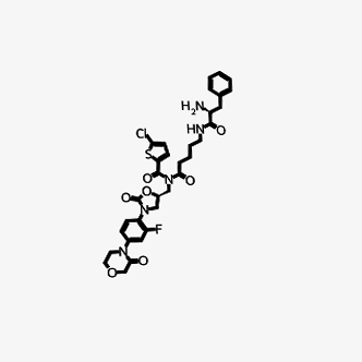 N[C@@H](Cc1ccccc1)C(=O)NCCCCC(=O)N(C[C@H]1CN(c2ccc(N3CCOCC3=O)cc2F)C(=O)O1)C(=O)c1ccc(Cl)s1